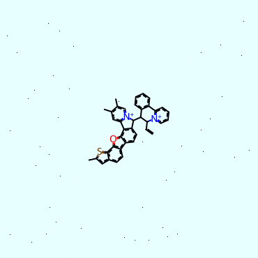 C=CC1C(C2c3ccc4c(oc5c4ccc4cc(C)sc45)c3-c3cc(C)c(C)c[n+]32)c2ccccc2-c2cccc[n+]21